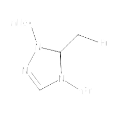 CCCCCCN1N=CN(CCC)C1CC(C)C